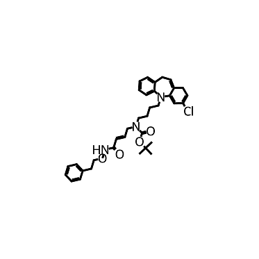 CC(C)(C)OC(=O)N(C/C=C/C(=O)NOCCc1ccccc1)CCCCN1C2=CC(Cl)=CCC2=CCc2ccccc21